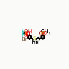 CS(=O)(=O)c1cccc(C=CCSCc2ccc(OP(=O)(O)C(F)F)c(Br)c2)c1.[Na].[Na]